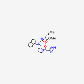 COC(=O)C(CCSC)NC(=O)CN(Cc1cccc2ccccc12)C[C@@H]1CCCCN1C(=O)Cc1c[nH]cn1